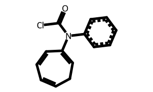 O=C(Cl)N(C1=CCC=CC=C1)c1ccccc1